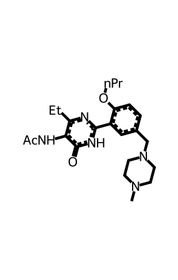 CCCOc1ccc(CN2CCN(C)CC2)cc1-c1nc(CC)c(NC(C)=O)c(=O)[nH]1